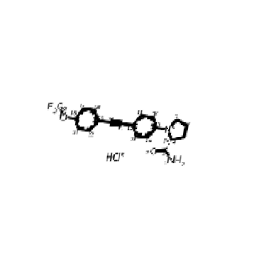 Cl.NC(=O)[C@H]1CCCN1c1ccc(C#Cc2ccc(OC(F)(F)F)cc2)cc1